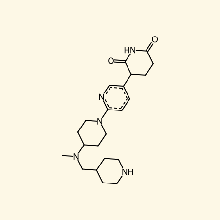 CN(CC1CCNCC1)C1CCN(c2ccc(C3CCC(=O)NC3=O)cn2)CC1